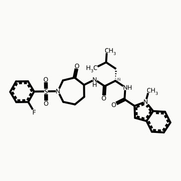 CC(C)C[C@H](NC(=O)c1cc2ccccc2n1C)C(=O)NC1CCCN(S(=O)(=O)c2ccccc2F)CC1=O